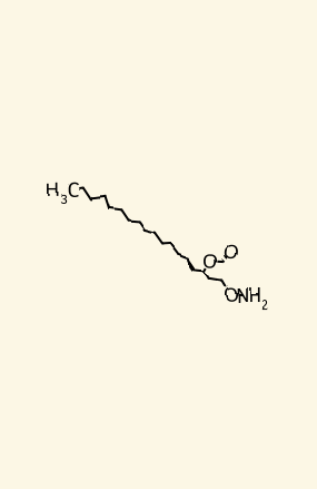 CCCCCCCCCCCCC/C=C/C(CCON)OC=O